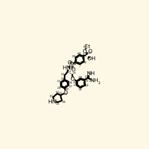 CCOP(=O)(O)c1ccc(S(=O)(=O)N[C@H](COc2cccc(C(=N)N)c2)Cc2ccc(OC3CCNCC3)cc2)cc1